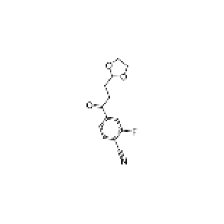 N#Cc1ccc(C(=O)CCC2OCCO2)cc1F